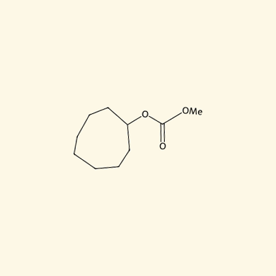 COC(=O)OC1CCCCCCC1